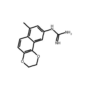 Cc1cc(NC(=N)N)cc2c3c(ccc12)OCCO3